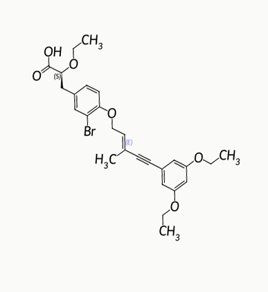 CCOc1cc(C#C/C(C)=C/COc2ccc(C[C@H](OCC)C(=O)O)cc2Br)cc(OCC)c1